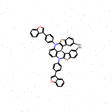 CC(C)(C)c1ccc2sc3c(c2c1)B1c2c(cccc2N(c2ccc(-c4coc5ccccc45)cc2)c2sc4ccc(C(C)(C)C)cc4c21)N3c1ccc(-c2coc3ccccc23)cc1